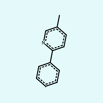 Cc1ccc(-c2cc[c]cc2)nc1